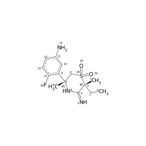 CC[C@]1(C)C(=N)N[C@](C)(c2cc(N)ccc2F)CS1(=O)=O